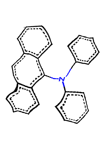 [c]1ccc2c(N(c3ccccc3)c3ccccc3)c3ccccc3cc2c1